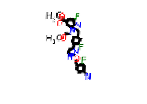 COCCn1c(Cc2ccc(-c3ccnc(OCc4ccc(C#N)cc4F)n3)c(F)c2)nc2c(F)cc(C(=O)OC)cc21